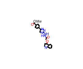 COC(=O)c1ccc(-c2cnc(NNC(=O)COc3ccnc4ccccc34)nn2)cc1